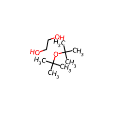 CC(C)(C)OC(C)(C)C.OCCO